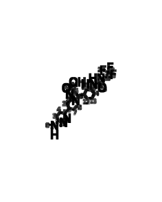 CNc1ccc(-c2ccn3c(-c4cccc(NC(=O)NCC(F)(F)F)c4)cnc3c2)nn1.O=CO